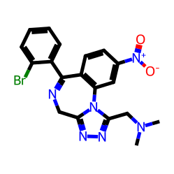 CN(C)Cc1nnc2n1-c1cc([N+](=O)[O-])ccc1C(c1ccccc1Br)=NC2